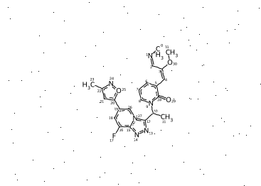 C/N=C\C(=C/c1cccn(C(C)c2nnc3c(F)cc(-c4cc(C)no4)cn23)c1=O)OC